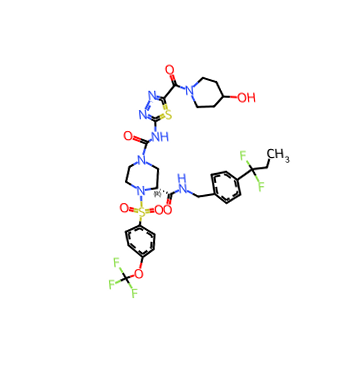 CCC(F)(F)c1ccc(CNC(=O)[C@H]2CN(C(=O)Nc3nnc(C(=O)N4CCC(O)CC4)s3)CCN2S(=O)(=O)c2ccc(OC(F)(F)F)cc2)cc1